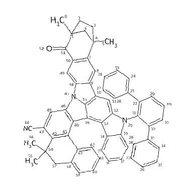 CC12CCC(C)(C1)c1cc3c4cc5c(c6ccccc6n5-c5c(-c6ccccc6)cccc5-c5ccccc5)c5c6c7c(c(C#N)cc6n(c3cc1C2=O)c45)C(C)(C)Cc1ccccc1-7